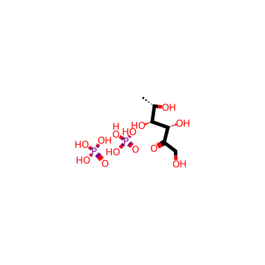 C[C@H](O)[C@@H](O)[C@H](O)C(=O)CO.O=P(O)(O)O.O=P(O)(O)O